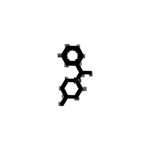 CC1CCN(C(C)c2ccccc2)CC1